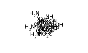 C[C@@H](O)[C@H](N)C(=O)N[C@H](CCN)C(=O)N[C@@H](CCCCN)C(=O)N[C@@H](CCN)C(=O)N[C@@H](CCN)C(=O)N[C@@H](CS)C(=O)N[C@@H](Cc1ccc(O)cc1)C(=O)O